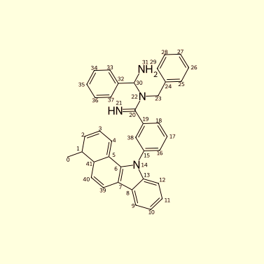 CC1C=CC=C2c3c(c4ccccc4n3-c3cccc(C(=N)N(Cc4ccccc4)C(N)c4ccccc4)c3)C=CC21